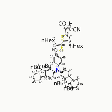 CCCCCCc1cc(/C=C(\C#N)C(=O)O)sc1-c1sc(-c2ccc(N(c3ccc4c(c3)C(CCCC)(CCCC)c3ccccc3-4)c3ccc4c(c3)C(CCCC)(CCCC)c3ccccc3-4)cc2)cc1CCCCCC